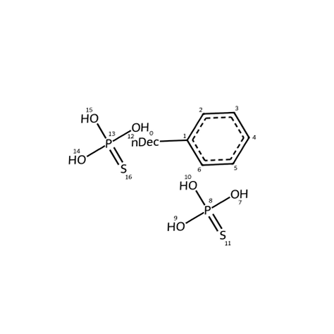 CCCCCCCCCCc1ccccc1.OP(O)(O)=S.OP(O)(O)=S